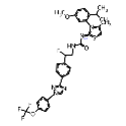 COc1ccc(C(C)C)c(-n2c(C)cs/c2=N\C(=O)NCC(F)c2ccc(-c3ncn(-c4ccc(OC(F)(F)F)cc4)n3)cc2)c1